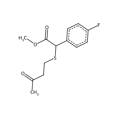 COC(=O)C(SCCC(C)=O)c1ccc(F)cc1